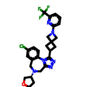 FC(F)(F)c1cccc(N2CC3(CC(c4nnc5n4-c4ccc(Cl)cc4CN([C@@H]4CCOC4)C5)C3)C2)n1